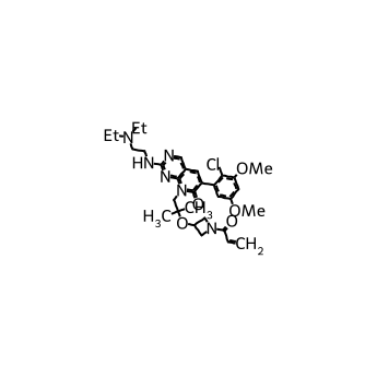 C=CC(=O)N1CC(OC(C)(C)Cn2c(=O)c(-c3cc(OC)cc(OC)c3Cl)cc3cnc(NCCN(CC)CC)nc32)C1